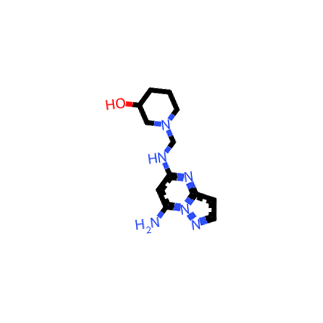 Nc1cc(NCN2CCCC(O)C2)nc2ccnn12